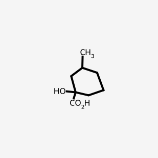 CC1CCCC(O)(C(=O)O)C1